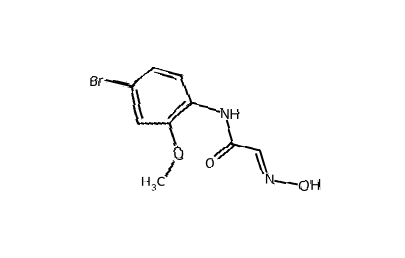 COc1cc(Br)ccc1NC(=O)C=NO